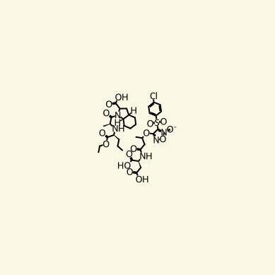 CC(CC(=O)N[C@@H](CC(=O)O)C(=O)O)Oc1no[n+]([O-])c1S(=O)(=O)c1ccc(Cl)cc1.CCC[C@H](N[C@@H](C)C(=O)N1C(C(=O)O)C[C@@H]2CCCC[C@@H]21)C(=O)OCC